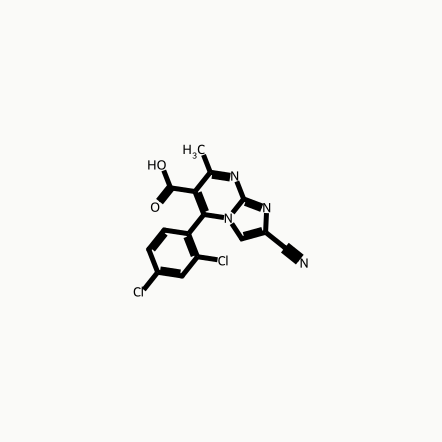 Cc1nc2nc(C#N)cn2c(-c2ccc(Cl)cc2Cl)c1C(=O)O